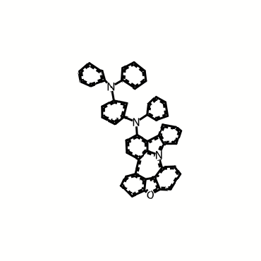 c1ccc(N(c2ccccc2)c2cccc(N(c3ccccc3)c3ccc4c5cccc6oc7cccc(c7c65)n5c6ccccc6c3c45)c2)cc1